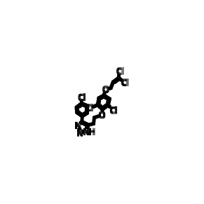 ClC(Cl)=CCOc1cc(Cl)c(OCCc2[nH]nnc2-c2ccc(Cl)cc2)c(Cl)c1